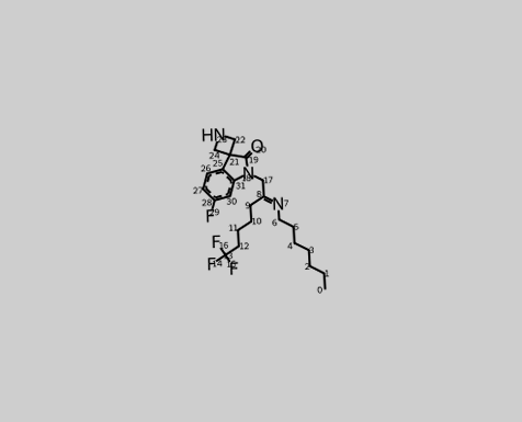 CCCCCCC/N=C(\CCCCC(F)(F)F)CN1C(=O)C2(CNC2)c2ccc(F)cc21